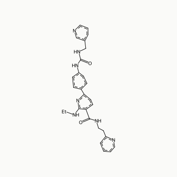 CCNc1nc(-c2ccc(NC(=O)NCc3cccnc3)cc2)ccc1C(=O)NCCc1ccccn1